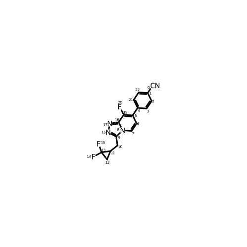 N#Cc1ccc(-c2ccn3c(CC4CC4(F)F)nnc3c2F)cc1